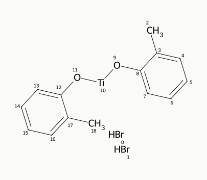 Br.Br.Cc1ccccc1[O][Ti][O]c1ccccc1C